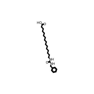 O=C(O)CCCCCCCCCCCCCCCNC(=O)NCc1ccccc1